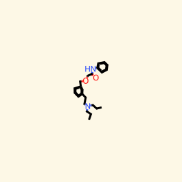 CCCN(CCC)CCc1cccc(COCC(=O)Nc2ccccc2)c1